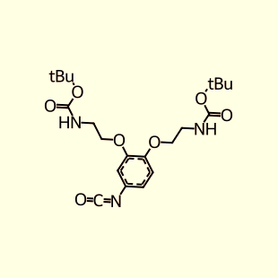 CC(C)(C)OC(=O)NCCOc1ccc(N=C=O)cc1OCCNC(=O)OC(C)(C)C